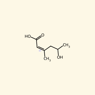 C/C(=C/C(=O)O)CC(C)O